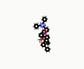 c1ccc(-c2ccc3c(c2)C2(c4cc(-c5ccccc5)ccc4O3)c3ccccc3-c3ccc4c(c32)c2ccccc2n4-c2cccc(-c3nc(-c4ccccc4)nc(-c4ccccc4)n3)c2)cc1